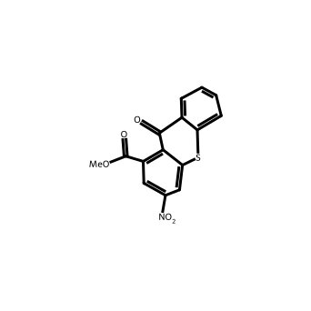 COC(=O)c1cc([N+](=O)[O-])cc2sc3ccccc3c(=O)c12